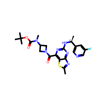 Cc1nc2nc(N[C@@H](C)c3cncc(F)c3)nc(C(=O)N3CC(N(C)C(=O)OC(C)(C)C)C3)c2s1